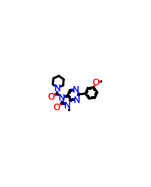 COc1cccc(-c2ncc3c(n2)n(C)c(=O)n3C(=O)N2CCCCC2)c1